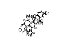 COc1ccc(Br)cc1S(=O)(=O)NC(CCn1ccnc1[N+](=O)[O-])C(=O)N1CCC(C)CC1